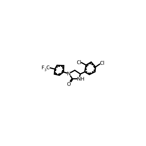 O=C1NC(c2ccc(Cl)cc2Cl)CN1c1ccc(C(F)(F)F)cc1